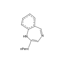 CCCCCC1=CN=Cc2ccccc2N1